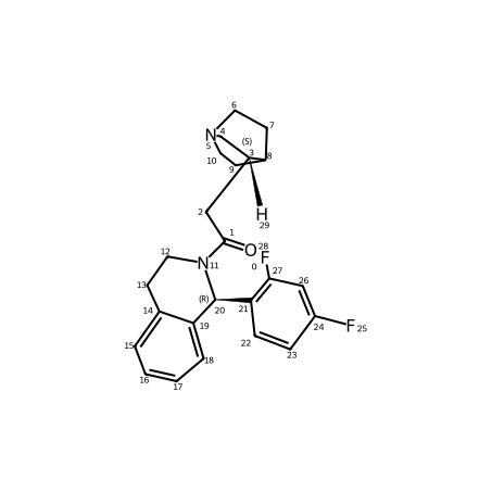 O=C(C[C@@H]1CN2CCC1CC2)N1CCc2ccccc2[C@@H]1c1ccc(F)cc1F